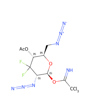 CC(=O)O[C@@H]1[C@@H](CN=[N+]=[N-])O[C@@H](OC(=N)C(Cl)(Cl)Cl)[C@H](N=[N+]=[N-])C1(F)F